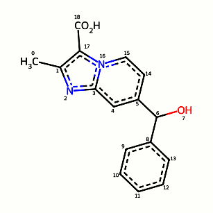 Cc1nc2cc(C(O)c3ccccc3)ccn2c1C(=O)O